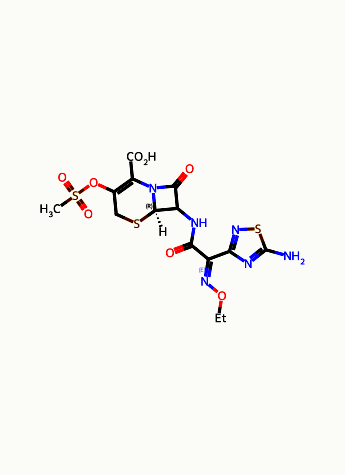 CCO/N=C(/C(=O)NC1C(=O)N2C(C(=O)O)=C(OS(C)(=O)=O)CS[C@H]12)c1nsc(N)n1